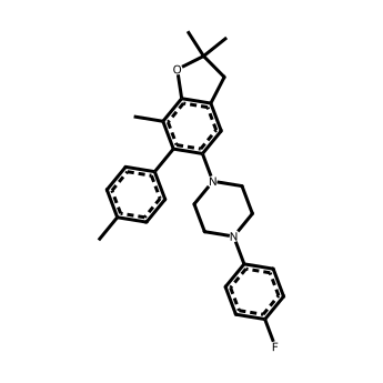 Cc1ccc(-c2c(N3CCN(c4ccc(F)cc4)CC3)cc3c(c2C)OC(C)(C)C3)cc1